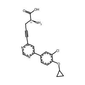 N[C@@H](CC#Cc1cc(-c2ccc(OC3CC3)c(Cl)c2)ncn1)C(=O)O